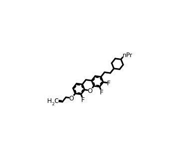 C=CCOc1ccc2c(c1F)Oc1c(cc(CCC3CCC(CCC)CC3)c(F)c1F)C2